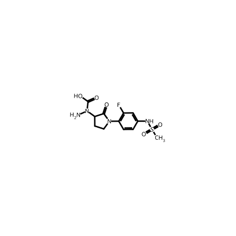 CS(=O)(=O)Nc1ccc(N2CCC(N(N)C(=O)O)C2=O)c(F)c1